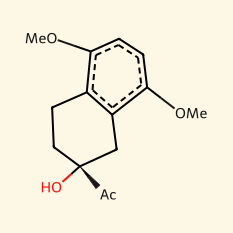 COc1ccc(OC)c2c1CC[C@](O)(C(C)=O)C2